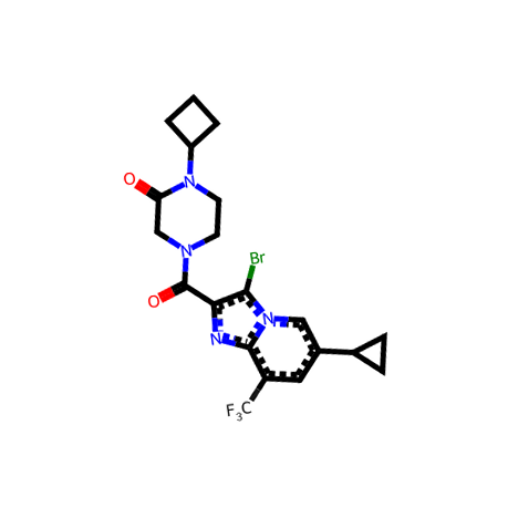 O=C(c1nc2c(C(F)(F)F)cc(C3CC3)cn2c1Br)N1CCN(C2CCC2)C(=O)C1